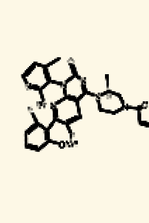 C=CC(=O)N1CCN(c2nc(=O)n(-c3c(C)ccnc3C(C)C)c3nc(-c4c(F)cccc4OC)c(F)cc23)[C@@H](C)C1